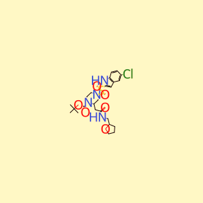 CC(C)(C)OC(=O)N1CCN(S(=O)(=O)c2cc3cc(Cl)ccc3[nH]2)CC1CC(=O)NCC1CCCO1